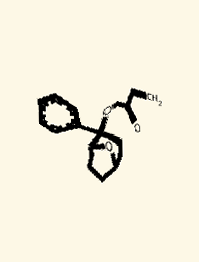 C=CC(=O)OC1(c2ccccc2)CC2CCC1O2